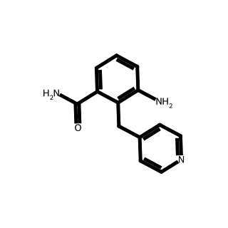 NC(=O)c1cccc(N)c1Cc1ccncc1